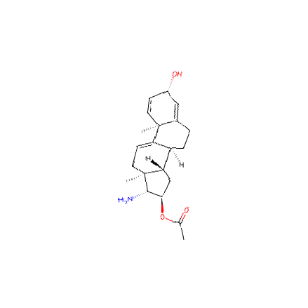 CC(=O)O[C@@H]1C[C@H]2[C@@H]3CCC4=C[C@@H](O)C=C[C@]4(C)C3=CC[C@]2(C)[C@H]1N